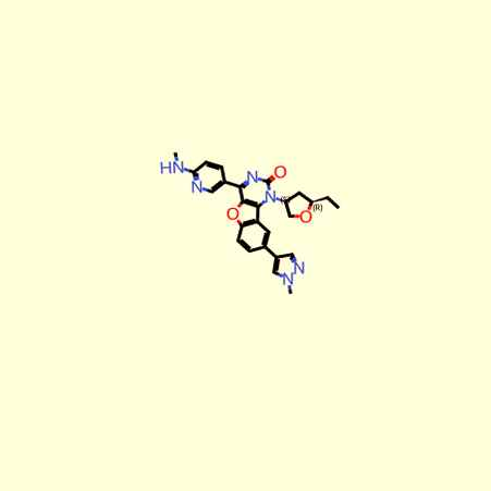 CC[C@@H]1C[C@H](n2c(=O)nc(-c3ccc(NC)nc3)c3oc4ccc(-c5cnn(C)c5)cc4c32)CO1